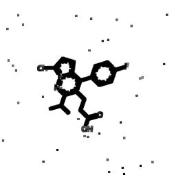 CC(C)c1nn2c(Cl)ccc2c(-c2ccc(F)cc2)c1CCC(=O)O